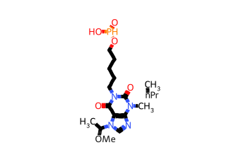 CCCC.COC(C)n1cnc2c1c(=O)n(CCCCCO[PH](=O)O)c(=O)n2C